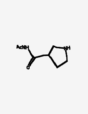 CC(=O)NC(=O)C1CCNC1